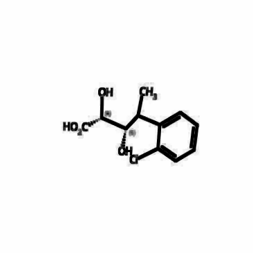 CC(c1ccccc1Cl)[C@H](O)[C@@H](O)C(=O)O